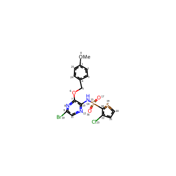 COc1ccc(COc2nc(Br)cnc2NS(=O)(=O)c2sccc2Cl)cc1